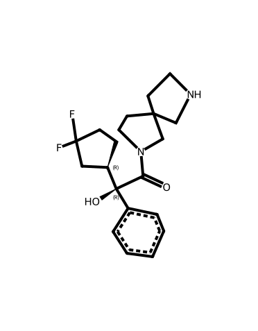 O=C(N1CCC2(CCNC2)C1)[C@](O)(c1ccccc1)[C@@H]1CCC(F)(F)C1